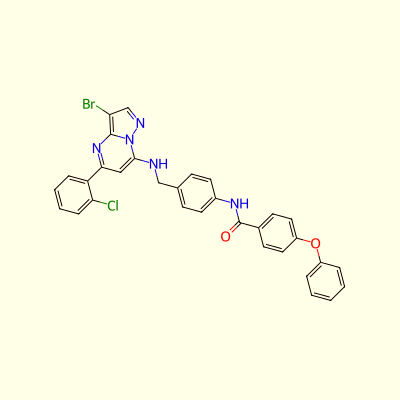 O=C(Nc1ccc(CNc2cc(-c3ccccc3Cl)nc3c(Br)cnn23)cc1)c1ccc(Oc2ccccc2)cc1